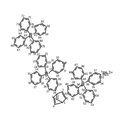 C1=CC2C=CC1C2.[Rh+3].c1ccc([B-](c2ccccc2)(c2ccccc2)c2ccccc2)cc1.c1ccc([B-](c2ccccc2)(c2ccccc2)c2ccccc2)cc1.c1ccc([B-](c2ccccc2)(c2ccccc2)c2ccccc2)cc1